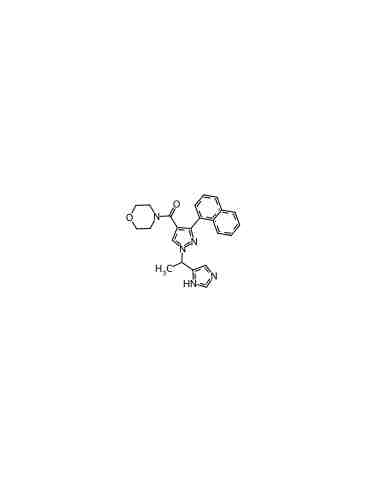 CC(c1cnc[nH]1)n1cc(C(=O)N2CCOCC2)c(-c2cccc3ccccc23)n1